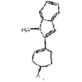 CC1CC=C(c2cc3ccccc3n2C)CC1